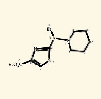 CCOC(=O)c1csc(N(CC)N2CCCCC2)n1